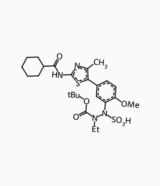 CCN(C(=O)OC(C)(C)C)N(c1cc(-c2sc(NC(=O)C3CCCCC3)nc2C)ccc1OC)S(=O)(=O)O